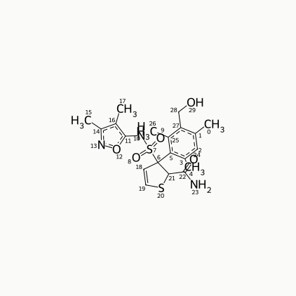 Cc1cc(C)c(C2(S(=O)(=O)Nc3onc(C)c3C)C=CSC2C(N)=O)c(C)c1CO